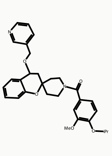 COc1cc(C(=O)N2CCC3(CC2)CC(OCc2cccnc2)c2ccccc2O3)ccc1OC(C)C